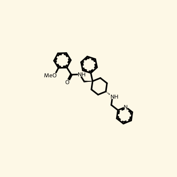 COc1ccccc1C(=O)NC[C@]1(c2ccccc2)CC[C@@H](NCc2ccccn2)CC1